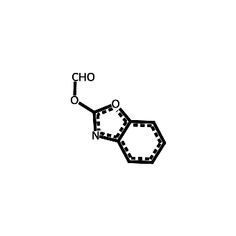 O=COc1nc2ccccc2o1